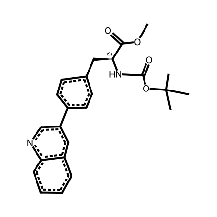 COC(=O)[C@H](Cc1ccc(-c2cnc3ccccc3c2)cc1)NC(=O)OC(C)(C)C